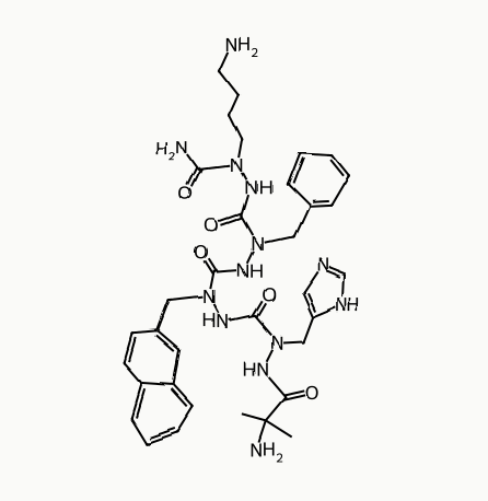 CC(C)(N)C(=O)NN(Cc1cnc[nH]1)C(=O)NN(Cc1ccc2ccccc2c1)C(=O)NN(Cc1ccccc1)C(=O)NN(CCCCN)C(N)=O